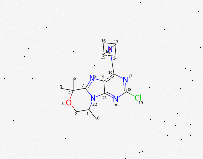 CC1COC(C)(C)c2nc3c(N4CC5CC4C5)nc(Cl)nc3n21